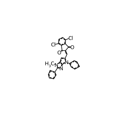 Cn1c(-c2ccccc2)nc2c1cc(C=C1C(=O)c3c(Cl)ccc(Cl)c3C1=O)n2-c1ccccc1